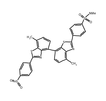 CNS(=O)(=O)c1ccc(-c2nc3c(C)ccc(-c4ccc(C)c5sc(-c6ccc([SH](=O)=O)cc6)nc45)c3s2)cc1